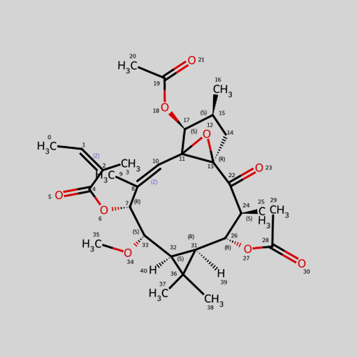 C/C=C(/C)C(=O)O[C@@H]1/C(C)=C\C23O[C@@]2(C[C@H](C)[C@@H]3OC(C)=O)C(=O)[C@@H](C)[C@H](OC(C)=O)[C@@H]2[C@H]([C@@H]1OC)C2(C)C